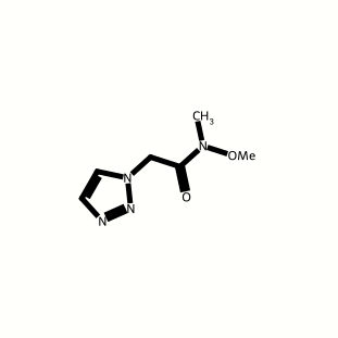 CON(C)C(=O)Cn1ccnn1